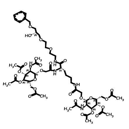 CC(=O)N[C@H]1[C@H](OCC(=O)NCCCC[C@H](NC(=O)CO[C@@H]2O[C@H](COC(C)=O)[C@H](OC(C)=O)[C@H](OC(C)=O)[C@H]2NC(C)=O)C(=O)NCCOCCOC[C@H](O)COCc2ccccc2)O[C@H](COC(C)=O)[C@H](OC(C)=O)[C@@H]1OC(C)=O